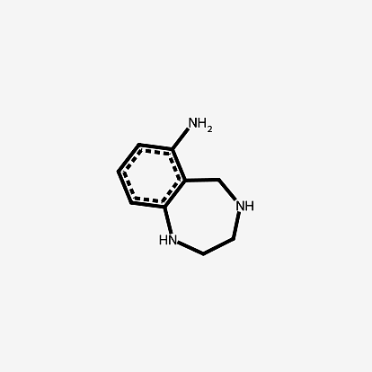 Nc1cccc2c1CNCCN2